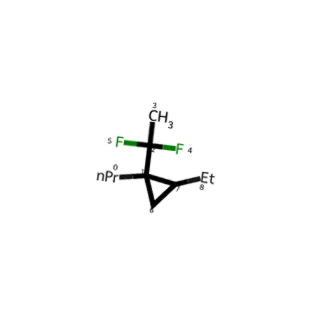 CCCC1(C(C)(F)F)CC1CC